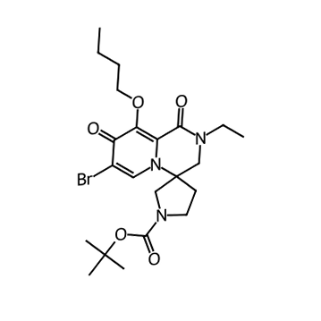 CCCCOc1c2n(cc(Br)c1=O)C1(CCN(C(=O)OC(C)(C)C)C1)CN(CC)C2=O